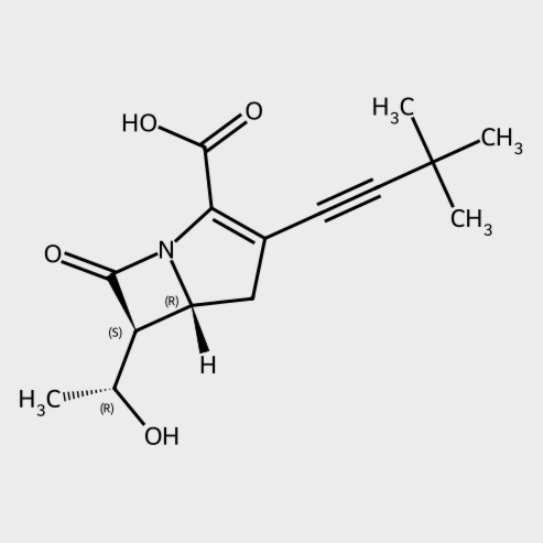 C[C@@H](O)[C@H]1C(=O)N2C(C(=O)O)=C(C#CC(C)(C)C)C[C@H]12